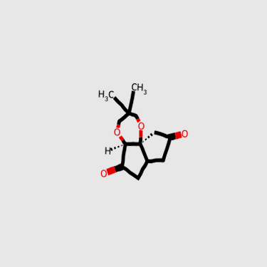 CC1(C)CO[C@@H]2C(=O)CC3CC(=O)C[C@]32OC1